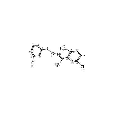 C/C(=N\OCc1cccc(Cl)c1)c1cc(Cl)ccc1C(F)(F)F